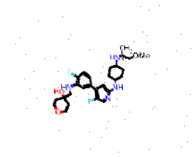 COC[C@H](C)N[C@H]1CC[C@H](Nc2cc(-c3ccc(F)c(NCC4(O)CCOCC4)c3)c(F)cn2)CC1